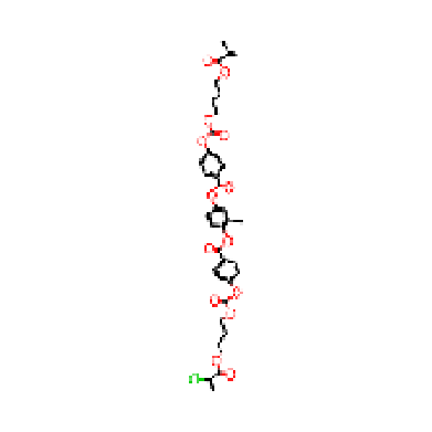 C=C(C)C(=O)OCCCCOC(=O)Oc1ccc(C(=O)Oc2ccc(OC(=O)c3ccc(OC(=O)OCCCCOC(=O)C(=C)Cl)cc3)c(C)c2)cc1